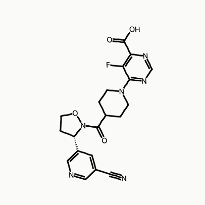 N#Cc1cncc([C@@H]2CCON2C(=O)C2CCN(c3ncnc(C(=O)O)c3F)CC2)c1